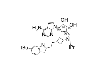 CC(C)CN(C[C@H]1C[C@@H](n2ccc3c(N)ncnc32)[C@H](O)[C@@H]1O)[C@H]1C[C@H](CCC2=Nc3cc(C(C)(C)C)ccc3C2)C1